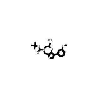 COc1cccc(-c2csc3c2OC(C)CN(C(=O)OC(C)(C)C)C3)c1.Cl